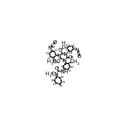 Cc1ccc(N=C=O)cc1N1C(=O)N(c2cc(N=C=O)ccc2C)C(O)N(c2cc(NC(=O)N(C)c3ccccc3)ccc2C)C1=O